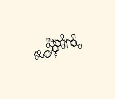 CCC(C)n1cc(C(=O)NCc2ccc(Cl)cc2Cl)c(=O)c2cc(F)c(N3CCN(CC4OCCO4)CC3)c(Cl)c21